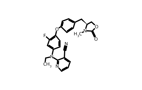 CCN(c1ccc(Oc2ccc(C[C@H]3COC(=O)N3C)cc2)c(F)c1)c1ncccc1C#N